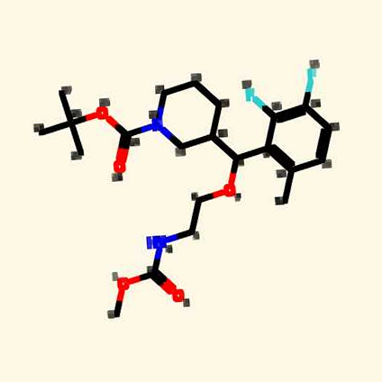 COC(=O)NCCOC(c1c(C)ccc(F)c1F)C1CCCN(C(=O)OC(C)(C)C)C1